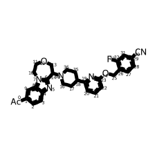 CC(=O)c1ccc2nc3n(c2c1)CCOCC3N1CCC(c2cccc(OCc3ccc(C#N)cc3F)n2)CC1